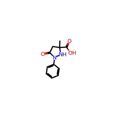 CC1(C(=O)O)CC(=O)N(c2ccccc2)N1